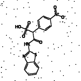 O=C(Nc1nc2ccccc2s1)C(c1ccc([N+](=O)[O-])cc1)S(=O)(=O)O